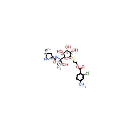 CCC[C@H]1CN[C@H](C(=O)N[C@@H]([C@H]2O[C@H](SCCOC(=O)c3ccc(N)cc3Cl)[C@H](O)[C@@H](O)[C@H]2O)[C@@H](C)O)C1